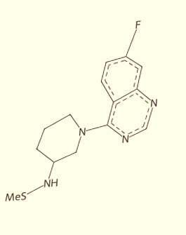 CSNC1CCCN(c2ncnc3cc(F)ccc23)C1